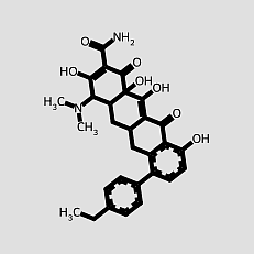 CCc1ccc(-c2ccc(O)c3c2CC2CC4C(N(C)C)C(O)=C(C(N)=O)C(=O)C4(O)C(O)=C2C3=O)cc1